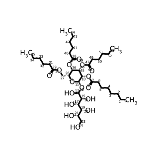 CCCCCCCC(=O)O[C@@H]1[C@@H](OC(O)[C@@H](O)[C@@H](O)[C@H](O)[C@@H](O)CO)O[C@H](COC(=O)CCCCC)[C@@H](OC(=O)CCCCC)[C@@H]1OC(=O)CCCCC